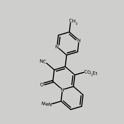 CCOC(=O)c1c(-c2cnc(C)cn2)c(C#N)c(=O)n2c(NC)cccc12